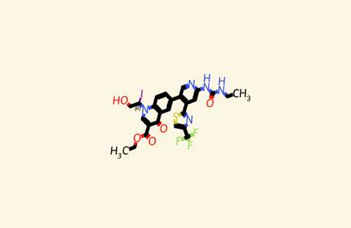 CCNC(=O)Nc1cc(-c2nc(C(F)(F)F)cs2)c(-c2ccc3c(c2)c(=O)c(C(=O)OCC)cn3[C@H](I)CO)cn1